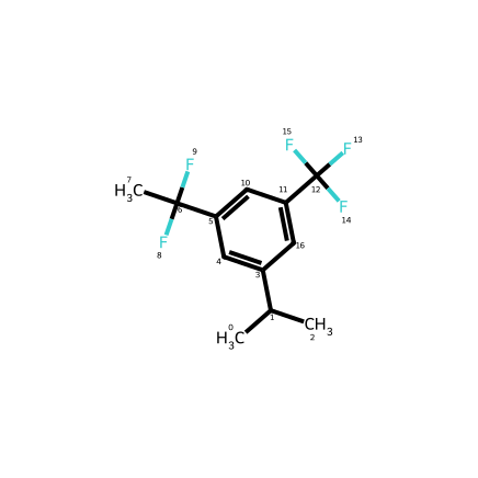 CC(C)c1cc(C(C)(F)F)cc(C(F)(F)F)c1